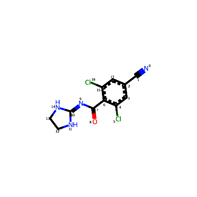 N#Cc1cc(Cl)c(C(=O)N=C2NCCN2)c(Cl)c1